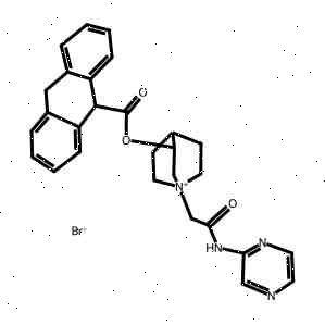 O=C(C[N+]12CCC(CC1)C(OC(=O)C1c3ccccc3Cc3ccccc31)C2)Nc1cnccn1.[Br-]